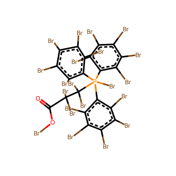 O=C(OBr)C(Br)(Br)C(Br)(Br)P(Br)(c1c(Br)c(Br)c(Br)c(Br)c1Br)(c1c(Br)c(Br)c(Br)c(Br)c1Br)c1c(Br)c(Br)c(Br)c(Br)c1Br